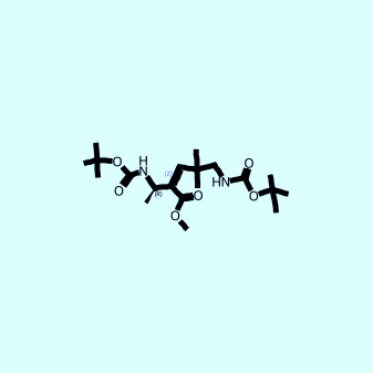 COC(=O)/C(=C\C(C)(C)CNC(=O)OC(C)(C)C)[C@@H](C)NC(=O)OC(C)(C)C